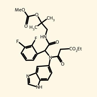 CCOC(=O)CC(=O)N(c1ccc2[nH]cnc2c1)C(C(=O)NCC(C)(C)OC(=O)OC)c1cccc(F)c1F